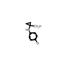 O=C(O)C1(Nc2ccc(Cl)cc2)CC1